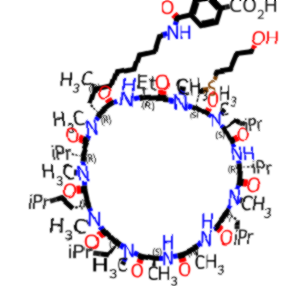 CC[C@H]1NC(=O)[C@@H](C[C@H](C)CCCCCCNC(=O)c2ccc(C(=O)O)cc2)N(C)C(=O)[C@@H](C(C)C)N(C)C(=O)[C@@H](CCC(C)C)N(C)C(=O)[C@H](CC(C)C)N(C)C(=O)[C@H](C)NC(=O)[C@@H](C)NC(=O)[C@@H](CC(C)C)N(C)C(=O)[C@@H](C(C)C)NC(=O)[C@H](CC(C)C)N(C)C(=O)[C@@H](CSCCCCO)N(C)C1=O